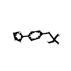 CC(C)(C)Cc1ccc(-c2cccs2)cc1